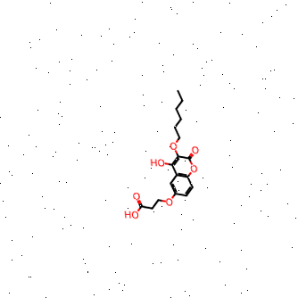 CCCCCCOc1c(O)c2cc(OCCC(=O)O)ccc2oc1=O